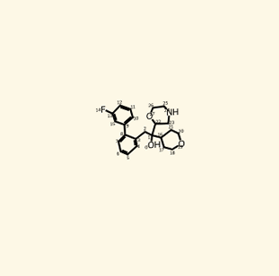 OC(Cc1ccccc1-c1cccc(F)c1)(C1CCOCC1)C1CNCCO1